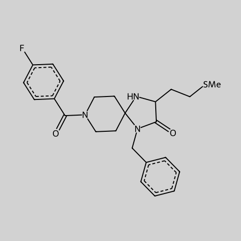 CSCCC1NC2(CCN(C(=O)c3ccc(F)cc3)CC2)N(Cc2ccccc2)C1=O